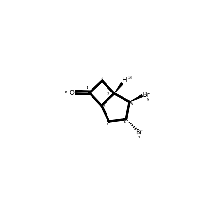 O=C1C[C@H]2C1C[C@@H](Br)[C@@H]2Br